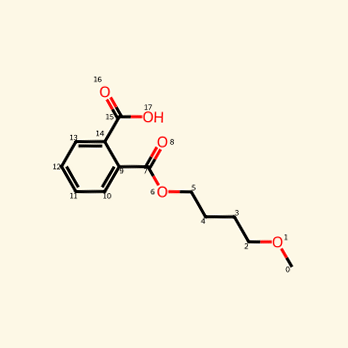 COCCCCOC(=O)c1ccccc1C(=O)O